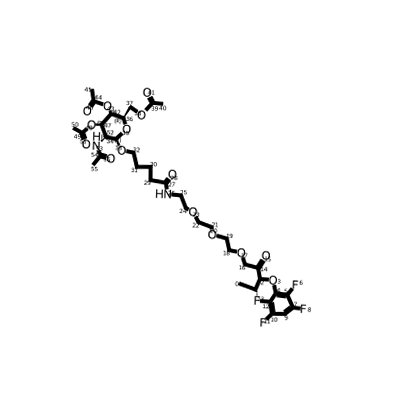 CCC(Oc1c(F)c(F)cc(F)c1F)C(=O)COCCOCCOCCNC(=O)CCCCO[C@@H]1O[C@H](COC(C)=O)[C@H](OC(C)=O)[C@H](OC(C)=O)[C@H]1NC(C)=O